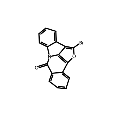 O=c1c2ccccc2c2oc(Br)c3c4ccccc4n1c23